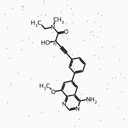 CCN(C)C(=O)[C@H](O)C#Cc1cccc(-c2cc(OC)c3ncnc(N)c3c2)c1